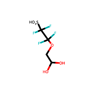 O=S(=O)(O)C(F)(F)C(F)(F)OCC(O)O